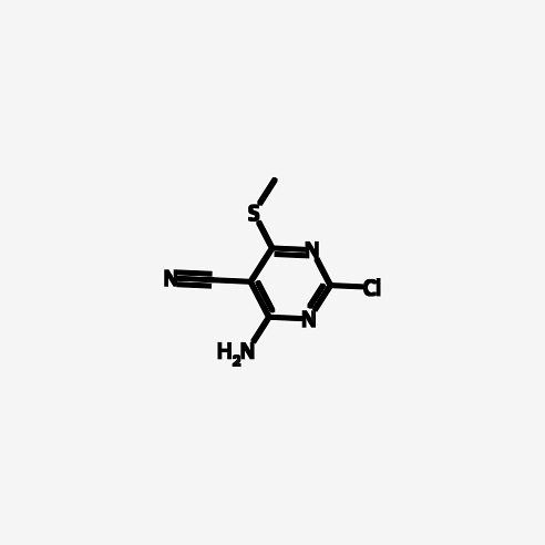 CSc1nc(Cl)nc(N)c1C#N